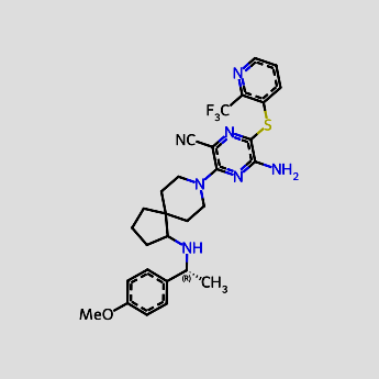 COc1ccc([C@@H](C)NC2CCCC23CCN(c2nc(N)c(Sc4cccnc4C(F)(F)F)nc2C#N)CC3)cc1